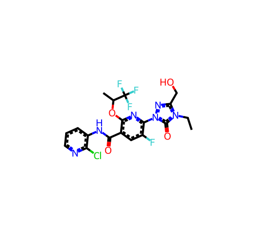 CCn1c(CO)nn(-c2nc(OC(C)C(F)(F)F)c(C(=O)Nc3cccnc3Cl)cc2F)c1=O